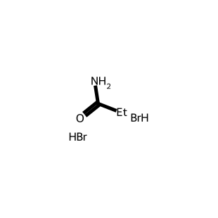 Br.Br.CCC(N)=O